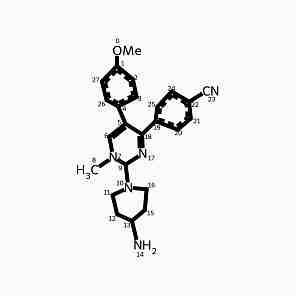 COc1ccc(C2=CN(C)C(N3CCC(N)CC3)N=C2c2ccc(C#N)cc2)cc1